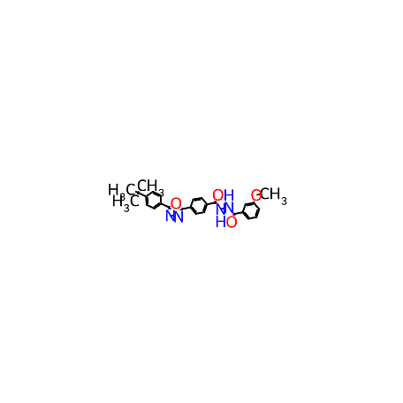 COc1cccc(C(=O)NNC(=O)c2ccc(-c3nnc(-c4ccc(C(C)(C)C)cc4)o3)cc2)c1